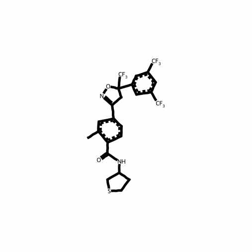 Cc1cc(C2=NOC(c3cc(C(F)(F)F)cc(C(F)(F)F)c3)(C(F)(F)F)C2)ccc1C(=O)NC1CCSC1